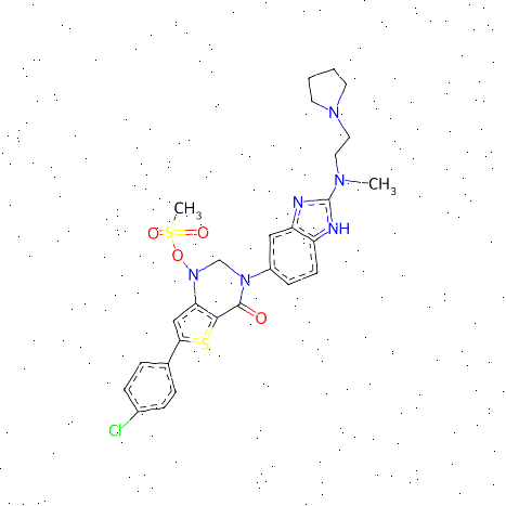 CN(CCN1CCCC1)c1nc2cc(N3CN(OS(C)(=O)=O)c4cc(-c5ccc(Cl)cc5)sc4C3=O)ccc2[nH]1